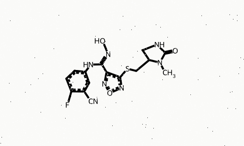 CN1C(=O)NCC1CSc1nonc1/C(=N/O)Nc1ccc(F)c(C#N)c1